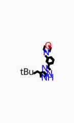 CC(C)(C)CCc1c[nH]c2ncc(-c3cccc(CN4CCOCC4)c3)nc12